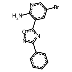 Nc1ncc(Br)cc1-c1nc(-c2ccccc2)no1